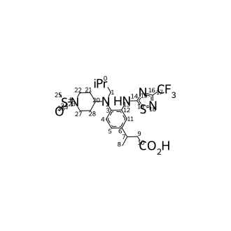 CC(C)CN(c1ccc(C(C)CC(=O)O)cc1Nc1nc(C(F)(F)F)ns1)C1CCN([S+](C)[O-])CC1